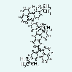 C[Si](C)(C)c1ccc(N(c2ccc3c(c2)[Si](C)(C)c2cccc4c2c-3cc2ccc(N(c3ccc([Si](C)(C)C)cc3)c3cccc5ccccc35)cc24)c2cccc3ccccc23)cc1